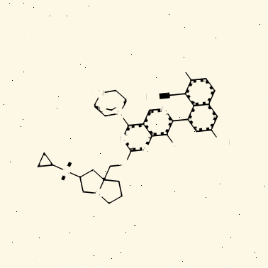 C#Cc1c(F)ccc2cc(O)cc(-c3ncc4c(N5CC6CCCC5CN6)nc(OCC56CCCN5CC(S(=O)(=O)C5CC5)C6)nc4c3F)c12